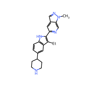 CCc1c(-c2cc3cnn(C)c3cn2)[nH]c2ccc(C3CCNCC3)cc12